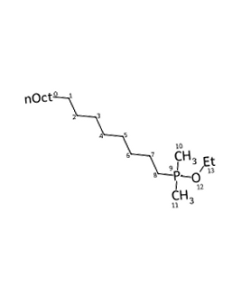 CCCCCCCCCCCCCCCC[P](C)(C)OCC